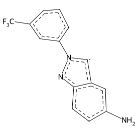 Nc1ccc2nn(-c3cccc(C(F)(F)F)c3)[c]c2c1